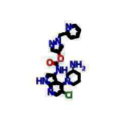 N[C@@H]1CCCN(c2c(Cl)cnc3[nH]cc(NC(=O)Oc4cnn(Cc5ccccn5)c4)c23)C1